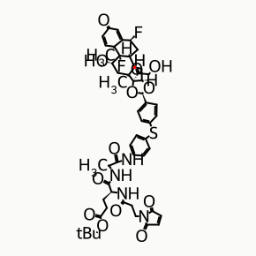 C[C@H](NC(=O)[C@H](CCC(=O)OC(C)(C)C)NC(=O)CCN1C(=O)C=CC1=O)C(=O)Nc1ccc(Sc2ccc([C@@H]3O[C@@H]4C[C@H]5[C@@H]6C[C@H](F)C7=CC(=O)C=C[C@]7(C)[C@@]6(F)[C@@H](O)C[C@]5(C)[C@]4(C(=O)CO)O3)cc2)cc1